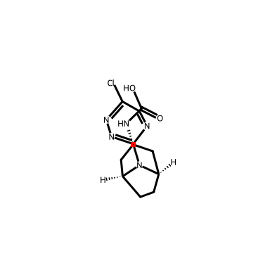 O=C(O)N[C@@H]1C[C@H]2CC[C@@H](C1)N2c1ncc(Cl)nn1